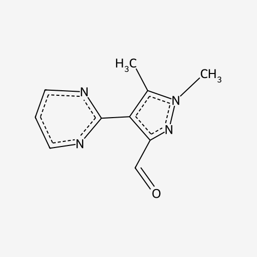 Cc1c(-c2ncccn2)c(C=O)nn1C